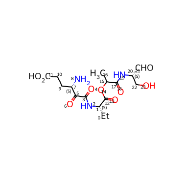 CC[C@H](NC(=O)C(=O)[C@@H](N)CCC(=O)O)C(=O)OC(C)C(=O)N[C@H](C=O)CO